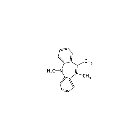 CC1=C(C)c2ccccc2N(C)c2ccccc21